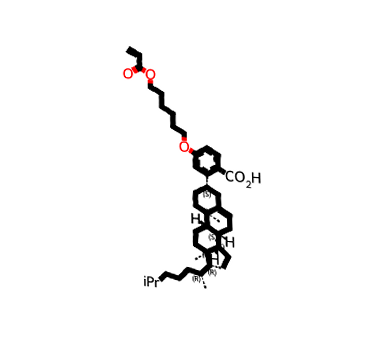 C=CC(=O)OCCCCCCOc1ccc(C(=O)O)c([C@H]2CC[C@@]3(C)C(=CC[C@H]4[C@@H]5CC[C@H]([C@H](C)CCCC(C)C)[C@@]5(C)CC[C@@H]43)C2)c1